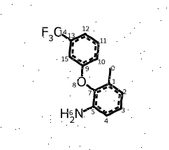 Cc1cccc(N)c1Oc1cccc(C(F)(F)F)c1